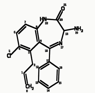 C=CCc1c(Cl)ccc2c1C(c1ccccc1)=NC(N)C(=O)N2